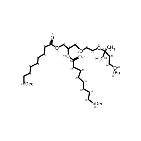 CCCCCCCCCCCCCCCCCC(=O)OCC(COCCOC(C)(C)CCOC(C)(C)C)OC(=O)CCCCCCCCCCCCCCCCC